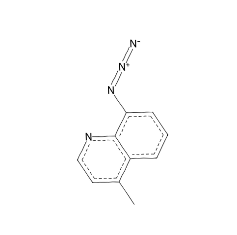 Cc1ccnc2c(N=[N+]=[N-])cccc12